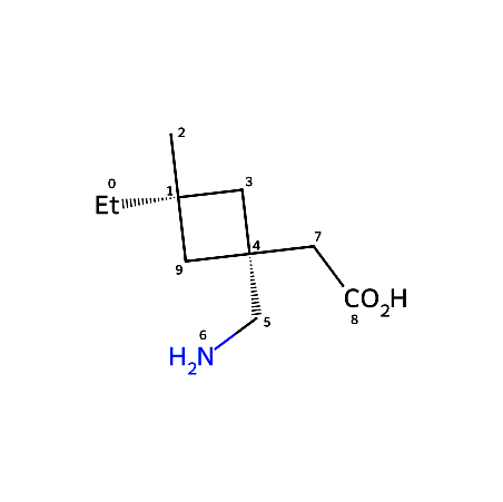 CC[C@]1(C)C[C@@](CN)(CC(=O)O)C1